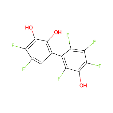 Oc1c(-c2c(F)c(O)c(F)c(F)c2F)cc(F)c(F)c1O